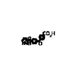 O=C(O)c1ccc(C(=O)c2ccc(S(=O)(=O)c3cccnn3)cc2)cc1